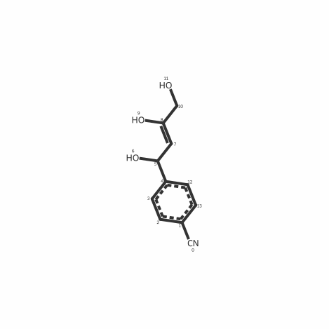 N#Cc1ccc(C(O)/C=C(\O)CO)cc1